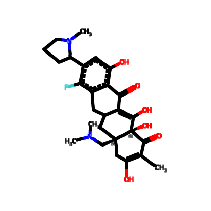 CC1=C(O)C[C@]2(CN(C)C)CC3Cc4c(F)c(C5CCCN5C)cc(O)c4C(=O)C3=C(O)[C@]2(O)C1=O